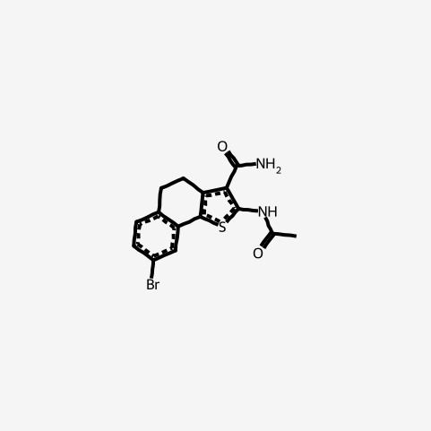 CC(=O)Nc1sc2c(c1C(N)=O)CCc1ccc(Br)cc1-2